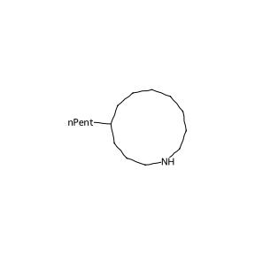 CCCCCC1CCCCCCCNCCC1